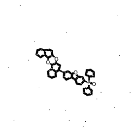 O=P(c1ccccc1)(c1ccccc1)c1ccc2c(c1)oc1cc(-c3cc4c(c5ccccc35)Oc3c(ccc5ccccc35)O4)ccc12